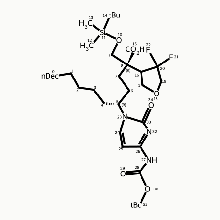 CCCCCCCCCCCCCC[C@H](CC[C@@](CO[Si](C)(C)C(C)(C)C)(C(=O)O)C1COCC1(F)F)n1ccc(NC(=O)OC(C)(C)C)nc1=O